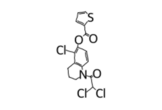 O=C(Oc1ccc2c(c1Cl)CCCN2C(=O)C(Cl)Cl)c1cccs1